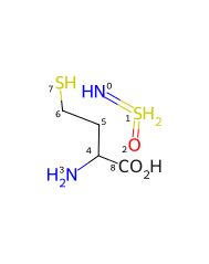 N=[SH2]=O.NC(CCS)C(=O)O